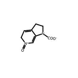 O=C([O-])N1CCC2=CC[N+](=O)C=C21